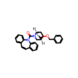 O=C(N1c2ccccc2C=Cc2ccccc21)N1C[C@@H]2CC[C@H]1CC2OCc1ccccc1